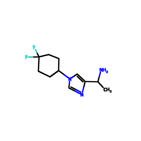 CC(N)c1cn(C2CCC(F)(F)CC2)cn1